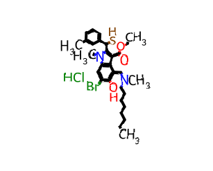 CCCCCCCCN(C)Cc1c(O)c(Br)cc2c1c(C(=O)OCC)c(C(S)c1cccc(C)c1)n2C.Cl